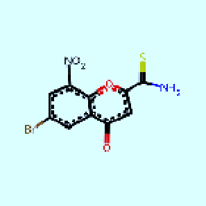 NC(=S)c1cc(=O)c2cc(Br)cc([N+](=O)[O-])c2o1